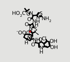 C[C@@H]1S[C@@H]2[C@H](NC(=O)/C(=N\OC(C)(C)C(=O)O)c3csc(N)n3)C(=O)N2C(C(=O)[O-])=C1C[N+]1(C)[C@@H]2CC[C@H]1CC(NC(=O)c1c[nH]c3cc(O)c(O)c(Cl)c3c1=O)C2